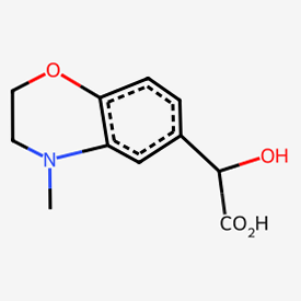 CN1CCOc2ccc(C(O)C(=O)O)cc21